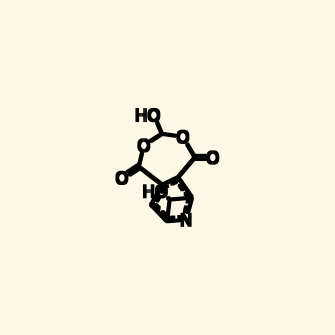 O=C1OC(O)OC(=O)c2c1cc1nc2C1O